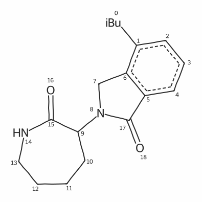 CCC(C)c1cccc2c1CN(C1CCCCNC1=O)C2=O